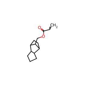 C=CC(=O)OCC1C2CCC1C1CCCC12